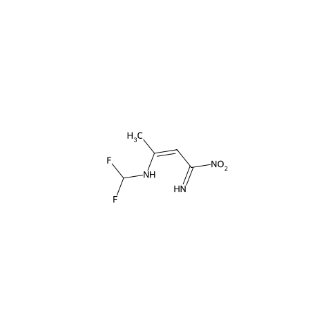 C/C(=C/C(=N)[N+](=O)[O-])NC(F)F